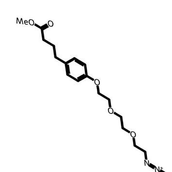 COC(=O)CCCc1ccc(OCCOCCOCCN=[N+]=[N-])cc1